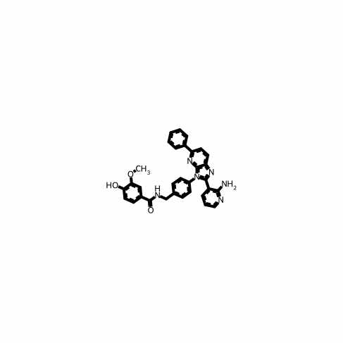 COc1cc(C(=O)NCc2ccc(-n3c(-c4cccnc4N)nc4ccc(-c5ccccc5)nc43)cc2)ccc1O